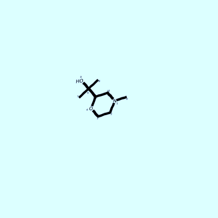 CN1CCOC(C(C)(C)O)C1